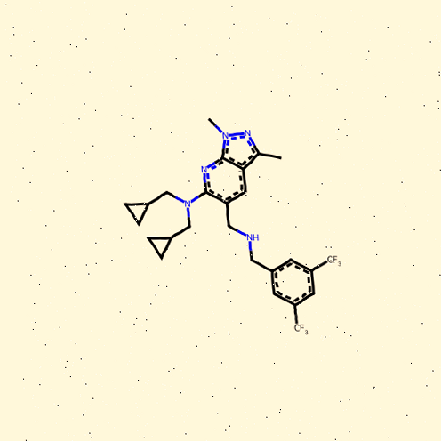 Cc1nn(C)c2nc(N(CC3CC3)CC3CC3)c(CNCc3cc(C(F)(F)F)cc(C(F)(F)F)c3)cc12